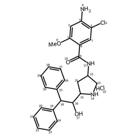 COc1cc(N)c(Cl)cc1C(=O)NC1CNC(C(O)C(c2ccccc2)c2ccccc2)C1.Cl